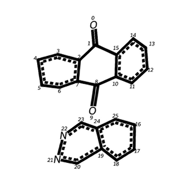 O=C1c2ccccc2C(=O)c2ccccc21.c1ccc2cnncc2c1